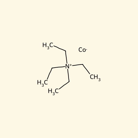 CC[N+](CC)(CC)CC.[Co]